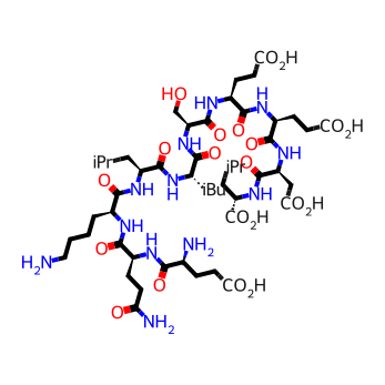 CCC(C)[C@H](NC(=O)[C@H](CC(C)C)NC(=O)[C@H](CCCCN)NC(=O)[C@H](CCC(N)=O)NC(=O)[C@@H](N)CCC(=O)O)C(=O)N[C@@H](CO)C(=O)N[C@@H](CCC(=O)O)C(=O)N[C@@H](CCC(=O)O)C(=O)N[C@@H](CC(=O)O)C(=O)N[C@@H](CC(C)C)C(=O)O